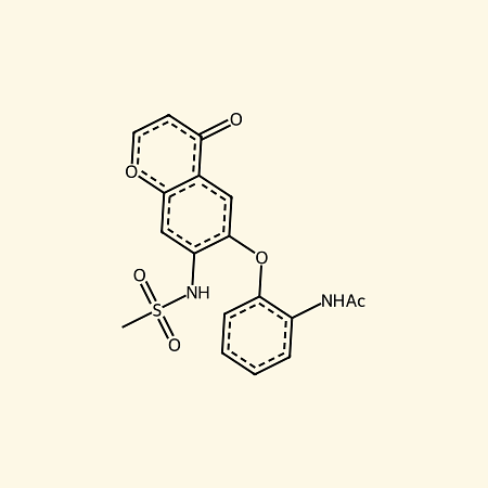 CC(=O)Nc1ccccc1Oc1cc2c(=O)ccoc2cc1NS(C)(=O)=O